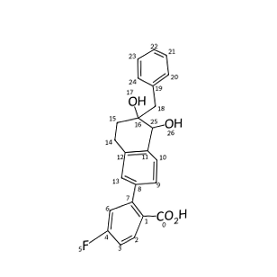 O=C(O)c1ccc(F)cc1-c1ccc2c(c1)CCC(O)(Cc1ccccc1)C2O